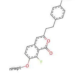 CCCCCCCOc1ccc2cc(CCc3ccc(CCCCC)cc3)oc(=O)c2c1F